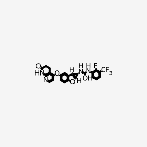 O=C1CCc2c(Oc3ccc4c(c3)[C@H]3[C@H](NC(O)Nc5cccc(C(F)(F)F)c5F)[C@H]3O4)ccnc2N1